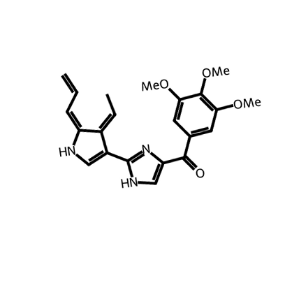 C=C/C=c1/[nH]cc(-c2nc(C(=O)c3cc(OC)c(OC)c(OC)c3)c[nH]2)/c1=C/C